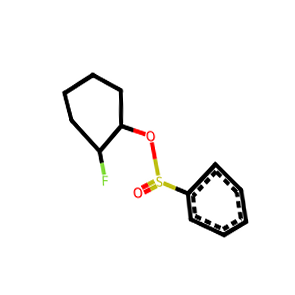 O=S(OC1CCCCC1F)c1ccccc1